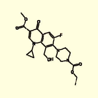 CCOC(=O)N1CCN(c2c(F)cc3c(=O)c(C(=O)OC)cn(C4CC4)c3c2CO)CC1